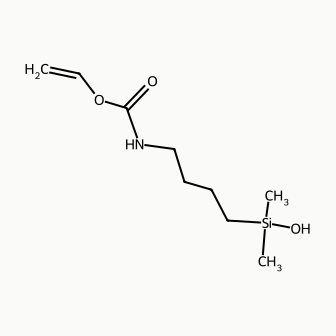 C=COC(=O)NCCCC[Si](C)(C)O